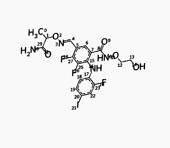 CC(O/N=C/c1cc(C(=O)NOCCO)c(Nc2ccc(I)cc2F)c(F)c1F)C(N)=O